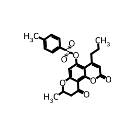 CCCc1cc(=O)oc2c3c(cc(OS(=O)(=O)c4ccc(C)cc4)c12)OC(C)CC3=O